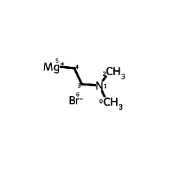 CN(C)C[CH2][Mg+].[Br-]